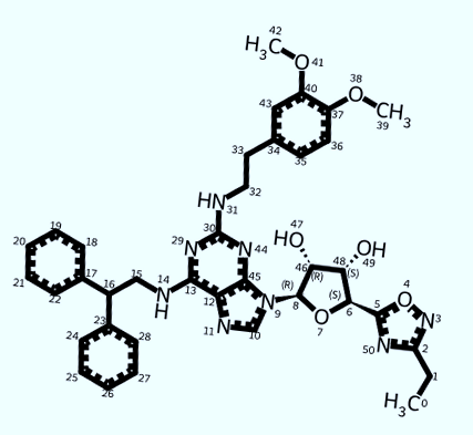 CCc1noc([C@H]2O[C@@H](n3cnc4c(NCC(c5ccccc5)c5ccccc5)nc(NCCc5ccc(OC)c(OC)c5)nc43)[C@H](O)[C@@H]2O)n1